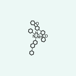 c1ccc(C2=NC(c3ccc4cc(-c5ccccc5)ccc4c3)NC(c3c(-c4ccc5c(c4)oc4ccccc45)ccc4oc5ccccc5c34)=N2)cc1